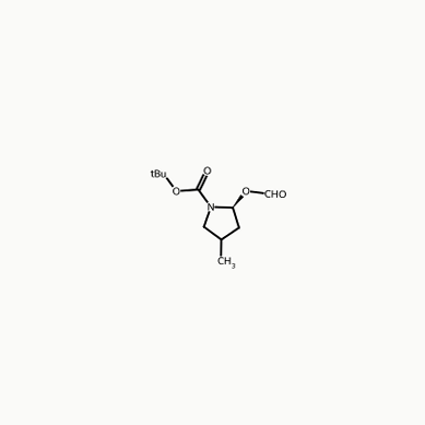 CC1C[C@H](OC=O)N(C(=O)OC(C)(C)C)C1